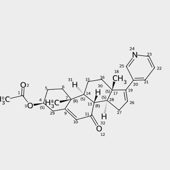 CC(=O)O[C@H]1CC[C@@]2(C)C(=CC(=O)[C@@H]3[C@@H]2CC[C@]2(C)C(c4cccnc4)=CC[C@@H]32)C1